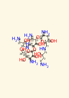 NCCC(O)CNC[C@H]1O[C@H](OC2[C@@H](N)C[C@@H](NCC(O)CN)[C@H](O[C@H]3O[C@H](CO)[C@@H](O)[C@H](N)[C@H]3O)[C@H]2O)[C@H](N)C[C@@H]1O